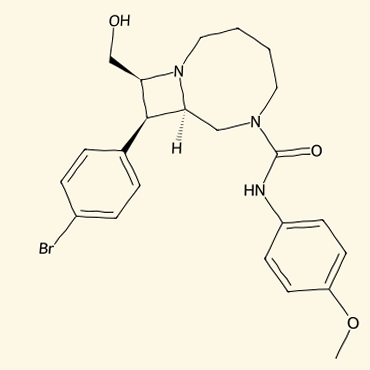 COc1ccc(NC(=O)N2CCCCN3[C@H](CO)[C@H](c4ccc(Br)cc4)[C@@H]3C2)cc1